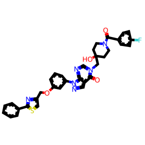 O=C(c1ccc(F)cc1)N1CCC(O)(Cn2cnc3c(cnn3-c3cccc(OCc4csc(-c5ccccc5)n4)c3)c2=O)CC1